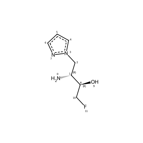 N[C@H](Cn1cccn1)[C@@H](O)CF